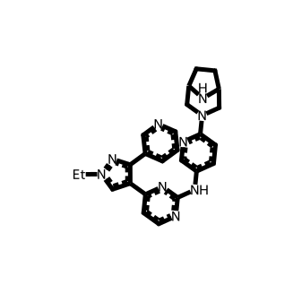 CCn1cc(-c2ccnc(Nc3ccc(N4CC5CCC(C4)N5)nc3)n2)c(-c2cccnc2)n1